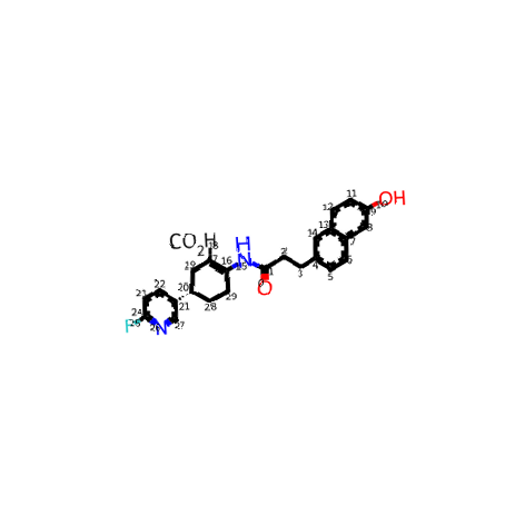 O=C(CCc1ccc2cc(O)ccc2c1)NC1=C(C(=O)O)C[C@@H](c2ccc(F)nc2)CC1